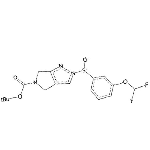 CC(C)(C)OC(=O)N1Cc2cn([S+]([O-])c3cccc(OC(F)F)c3)nc2C1